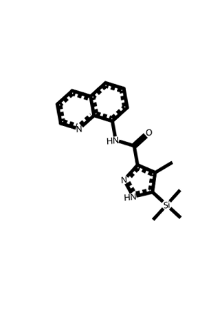 Cc1c(C(=O)Nc2cccc3cccnc23)n[nH]c1[Si](C)(C)C